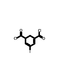 O=C(Cl)C1=CC(I)=CC(C(=O)Cl)C1